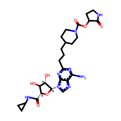 Nc1nc(CCCC2CCN(C(=O)OC3CCNC3=O)CC2)nc2c1ncn2[C@@H]1O[C@H](C(=O)NC2CC2)C(O)[C@@H]1O